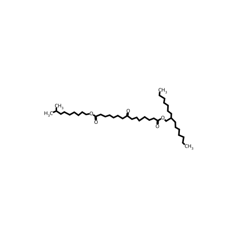 CCCCCCCC(CCCCCCC)COC(=O)CCCCCCC(=O)CCCCCCC(=O)OCCCCCCCC(C)C